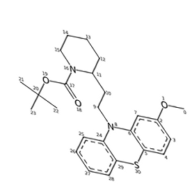 COc1ccc2c(c1)N(CCC1CCCCN1C(=O)OC(C)(C)C)c1ccccc1S2